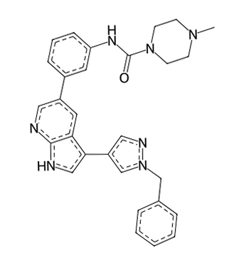 CN1CCN(C(=O)Nc2cccc(-c3cnc4[nH]cc(-c5cnn(Cc6ccccc6)c5)c4c3)c2)CC1